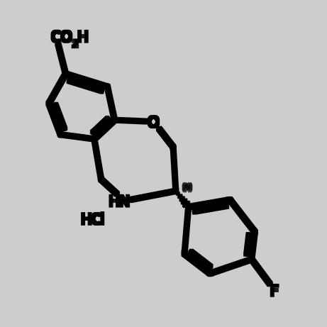 Cl.O=C(O)c1ccc2c(c1)OC[C@H](c1ccc(F)cc1)NC2